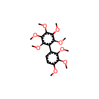 COc1ccc(-c2c(OC)c(OC)c(OC)c(OC)c2OC)c(OC)c1OC